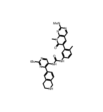 CNc1ncc2cc(-c3cc(NC(=O)Nc4cnc(C(C)(C)C)nc4-c4ccc5c(c4)CCNC5)ccc3C)c(=O)n(C)c2n1